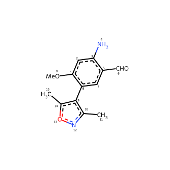 COc1cc(N)c(C=O)cc1-c1c(C)noc1C